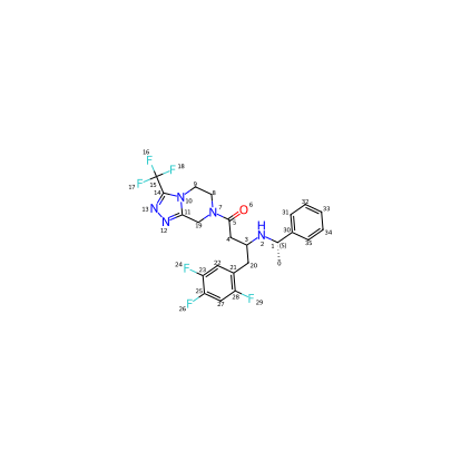 C[C@H](NC(CC(=O)N1CCn2c(nnc2C(F)(F)F)C1)Cc1cc(F)c(F)cc1F)c1ccccc1